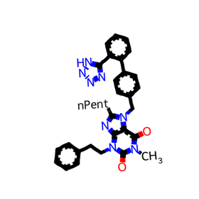 CCCCCc1nc2c(c(=O)n(C)c(=O)n2CCc2ccccc2)n1Cc1ccc(-c2ccccc2-c2nnn[nH]2)cc1